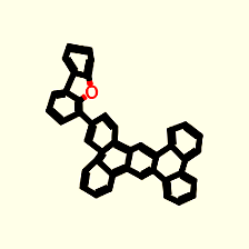 c1ccc2c(c1)oc1c(-c3ccc4c(c3)c3ccccc3c3cc5c6ccccc6c6ccccc6c5cc43)cccc12